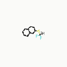 [2H]C(F)(F)Sc1ccc2ccccc2c1